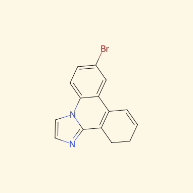 Brc1ccc2c(c1)c1c(c3nccn32)CCC=C1